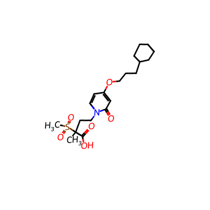 CC(CCn1ccc(OCCCC2CCCCC2)cc1=O)(C(=O)O)S(C)(=O)=O